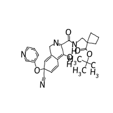 CC(C)(C)OC(=O)C1(CNC(=O)C2=NCC3=CC(C#N)(Oc4cccnc4)C=CC3=C2O)CCC1